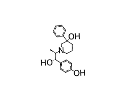 C[C@H]([C@@H](O)c1ccc(O)cc1)N1CCCC(O)(c2ccccc2)C1